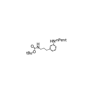 CCCCCNc1cccc(CCCNC(=O)OC(C)(C)C)c1